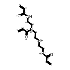 C=CC(=O)NCCNCCN(CCNC(=O)C=C)C(=O)C=C